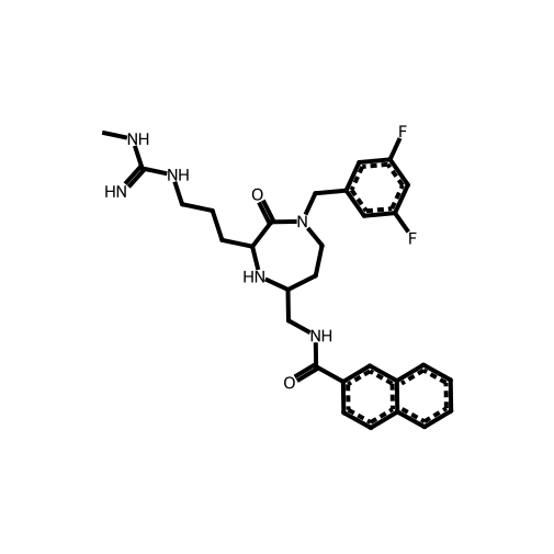 CNC(=N)NCCCC1NC(CNC(=O)c2ccc3ccccc3c2)CCN(Cc2cc(F)cc(F)c2)C1=O